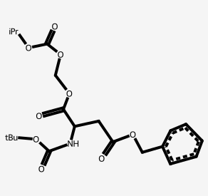 CC(C)OC(=O)OCOC(=O)C(CC(=O)OCc1ccccc1)NC(=O)OC(C)(C)C